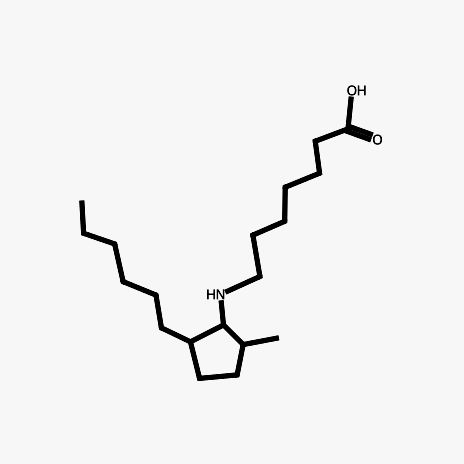 CCCCCCC1CCC(C)C1NCCCCCCC(=O)O